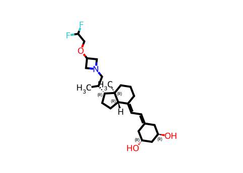 CC(CN1CC(OCC(F)F)C1)[C@H]1CC[C@H]2C(=CC=C3C[C@@H](O)C[C@H](O)C3)CCC[C@]12C